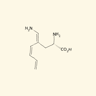 C=C/C=C\C(=C/N)C[C@H](N)C(=O)O